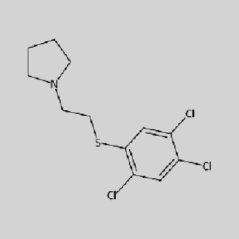 Clc1cc(Cl)c(SCCN2CCCC2)cc1Cl